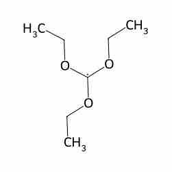 CCO[C](OCC)OCC